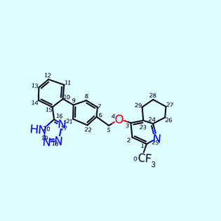 FC(F)(F)c1cc(OCc2ccc(-c3ccccc3-c3nnn[nH]3)cc2)c2c(n1)CCCC2